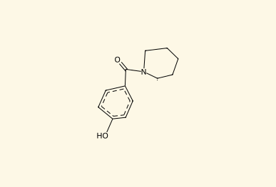 O=C(c1ccc(O)cc1)N1[CH]CCCC1